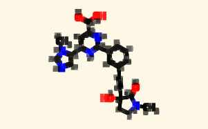 CN1CCC(O)(C#Cc2cccc(-c3nc(C(=O)O)cc(-c4cncn4C)n3)c2)C1=O